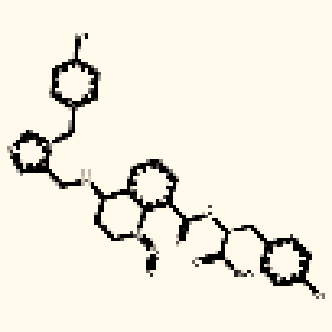 COC(=O)[C@H](Cc1ccc(Cl)cc1)NC(=O)c1cccc2c1S(=S=O)CCC2NCc1cncn1Cc1ccc(C#N)cc1